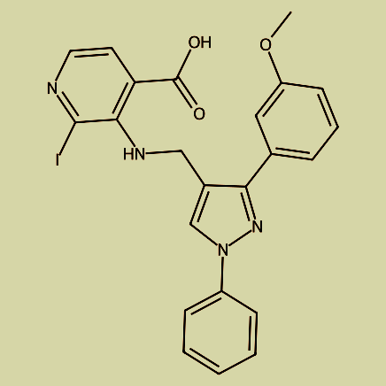 COc1cccc(-c2nn(-c3ccccc3)cc2CNc2c(C(=O)O)ccnc2I)c1